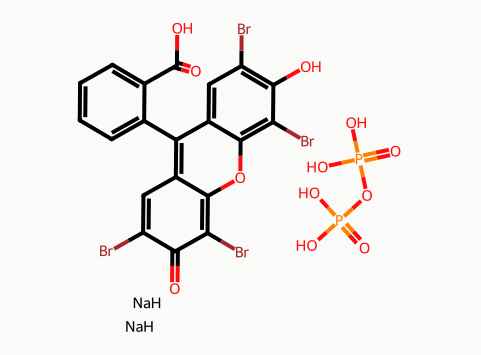 O=C(O)c1ccccc1-c1c2cc(Br)c(=O)c(Br)c-2oc2c(Br)c(O)c(Br)cc12.O=P(O)(O)OP(=O)(O)O.[NaH].[NaH]